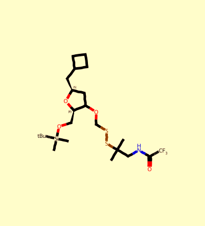 CC(C)(CNC(=O)C(F)(F)F)SSCOC1C[C@H](CC2CCC2)O[C@@H]1CO[Si](C)(C)C(C)(C)C